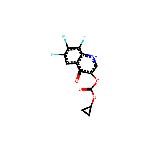 O=C(Oc1c[nH]c2c(F)c(F)c(F)cc2c1=O)OC1CC1